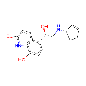 O=c1ccc2c([C@@H](O)CN[C@@H]3C=CCC3)ccc(O)c2[nH]1